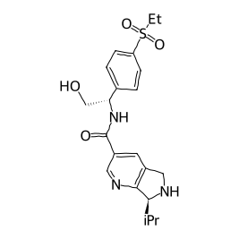 CCS(=O)(=O)c1ccc([C@@H](CO)NC(=O)c2cnc3c(c2)CN[C@H]3C(C)C)cc1